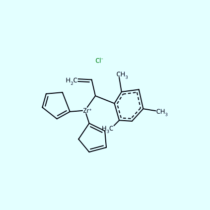 C=C[CH](c1c(C)cc(C)cc1C)[Zr+]([C]1=CC=CC1)[C]1=CC=CC1.[Cl-]